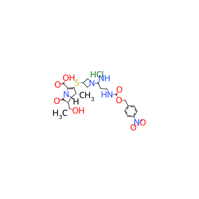 C[C@@H](O)[C@H]1C(=O)N2C(C(=O)O)=C(SC3CN(C(=N)CCNC(=O)OCc4ccc([N+](=O)[O-])cc4)C3)[C@H](C)[C@H]12.Cl